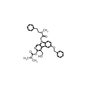 CN(C)C(=O)Oc1ncc2c(c1CO)c1cc(OCc3ccccc3)ccc1n2CC(=O)N(C)CCc1ccccc1